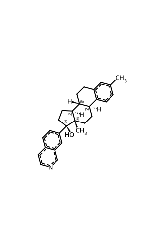 Cc1ccc2c(c1)CC[C@@H]1[C@@H]2CC[C@@]2(C)[C@H]1CC[C@@]2(O)c1ccc2ccncc2c1